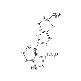 CCOC(=O)c1c[nH]c2ncnc(-c3ccc4c(c3)CCN(C(=O)O)C4)c12